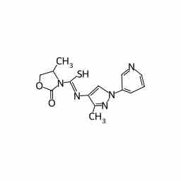 Cc1nn(-c2cccnc2)cc1N=C(S)N1C(=O)OCC1C